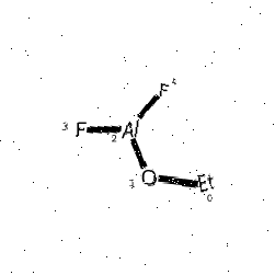 CC[O][Al]([F])[F]